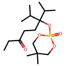 CCC(=O)CCC(OP1(=O)OCC(C)(C)CO1)(C(C)C)C(C)C